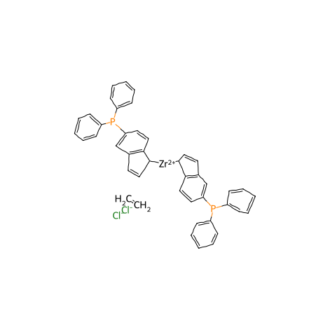 C1=C[CH]([Zr+2][CH]2C=Cc3cc(P(c4ccccc4)c4ccccc4)ccc32)c2ccc(P(c3ccccc3)c3ccccc3)cc21.C=C.[Cl-].[Cl-]